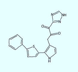 O=C(Cc1cc[nH]c1-c1ccc(-c2ccccc2)s1)C(=O)c1nc[nH]n1